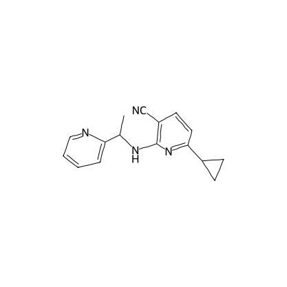 CC(Nc1nc(C2CC2)ccc1C#N)c1ccccn1